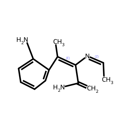 C=C(N)C(/N=C\C)=C(/C)c1ccccc1N